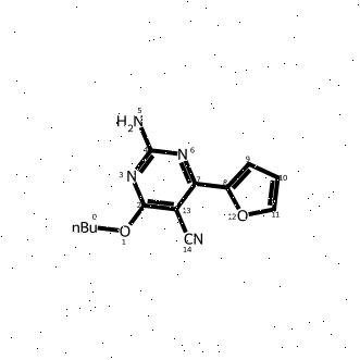 CCCCOc1nc(N)nc(-c2ccco2)c1C#N